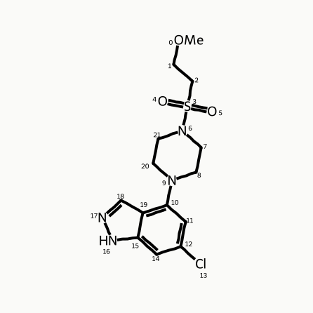 COCCS(=O)(=O)N1CCN(c2cc(Cl)cc3[nH]ncc23)CC1